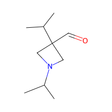 CC(C)N1CC(C=O)(C(C)C)C1